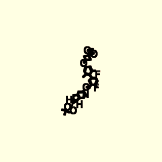 Cc1cc(OC2CC(S(C)(=O)=O)C2)cc(C)c1-c1cc(COc2cc3c(cn2)[C@H]2[C@@H](C3)[C@@H]2C(=O)OC(C)(C)C)c(F)cc1F